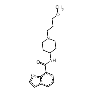 COCCCN1CCC(NC(=O)c2cccc3ccoc23)CC1